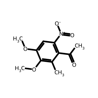 COc1cc([N+](=O)[O-])c(C(C)=O)c(C)c1OC